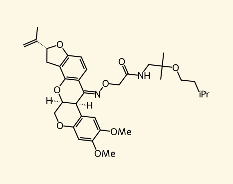 C=C(C)[C@H]1Cc2c(ccc3c2O[C@@H]2COc4cc(OC)c(OC)cc4[C@@H]2/C3=N/OCC(=O)NCC(C)(C)OCCC(C)C)O1